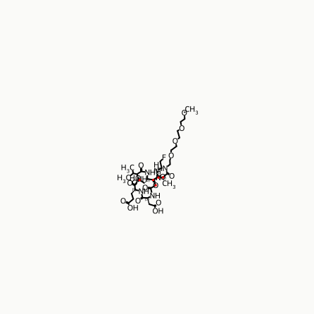 COCCOCCOCCOCCNC(=O)[C@H](C)NC(=O)[C@H](CC(=O)O)NC(=O)C(NC(=O)[C@H](CCC(=O)O)NC(=O)[C@H](CC(=O)O)NC(=O)CCC(=O)NCCF)C(C)C